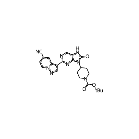 CC(C)(C)OC(=O)N1CCC(n2c(=O)[nH]c3cnc(-c4cnn5ccc(C#N)cc45)nc32)CC1